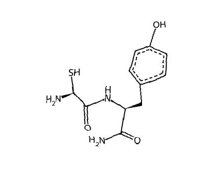 NC(=O)[C@H](Cc1ccc(O)cc1)NC(=O)[C@@H](N)S